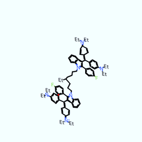 CCC(CCCCn1c(-c2ccc(F)cc2)c(C(=C2C=CC(=[N+](CC)CC)C=C2)c2ccc(N(CC)CC)cc2)c2ccccc21)CCCn1c(-c2ccc(F)cc2)c(C(=C2C=CC(=[N+](CC)CC)C=C2)c2ccc(N(CC)CC)cc2)c2ccccc21